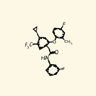 Cc1cc(F)ccc1Oc1cc(C2CC2)c(C(F)(F)F)cc1C(=O)Nc1cccc(F)c1